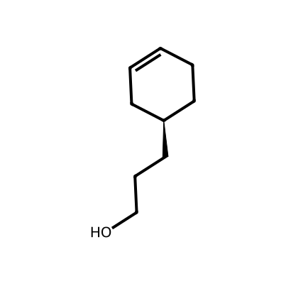 OCCC[C@H]1CC=CCC1